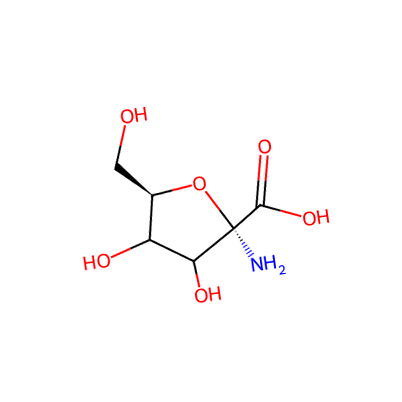 N[C@@]1(C(=O)O)O[C@H](CO)C(O)C1O